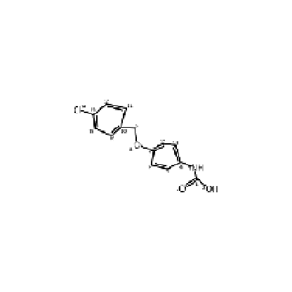 O=C(O)Nc1ccc(OCc2ccc(Cl)cc2)cc1